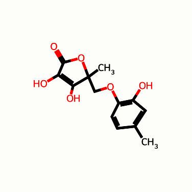 Cc1ccc(OCC2(C)OC(=O)C(O)=C2O)c(O)c1